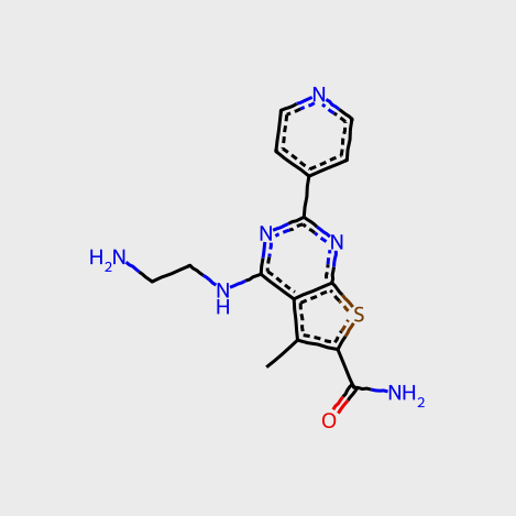 Cc1c(C(N)=O)sc2nc(-c3ccncc3)nc(NCCN)c12